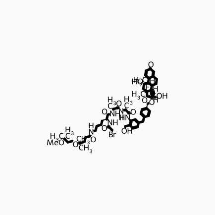 COC(C)(C)CCOC(C)(C)CCC(=O)NCCCC[C@H](NC(=O)CBr)C(=O)N[C@@H](C)C(=O)N[C@@H](C)C(=O)Nc1cc(Cc2ccc([C@@H]3O[C@@H]4C[C@H]5[C@@H]6CCC7=CC(=O)C=C[C@]7(C)[C@@]6(F)[C@@H](O)C[C@]5(C)[C@]4(C(=O)CO)O3)cc2)ccc1CO